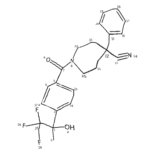 CC(O)(c1ccc(C(=O)N2CCC(C#N)(c3ccccc3)CC2)cc1)C(F)(F)F